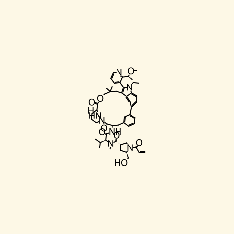 C=CC(=O)N1C[C@@H](C(=O)N(C)[C@H](C(=O)N[C@H]2Cc3cccc(c3)-c3ccc4c(c3)c(c(-c3cccnc3[C@H](C)OC)n4CC)CC(C)(C)COC(=O)[C@@H]3CCCN(N3)C2=O)C(C)C)C[C@@H]1CO